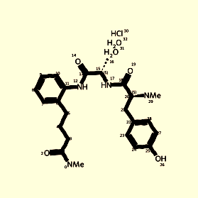 CNC(=O)CCCc1ccccc1NC(=O)[C@H](C)NC(=O)[C@H](Cc1ccc(O)cc1)NC.Cl.O.O